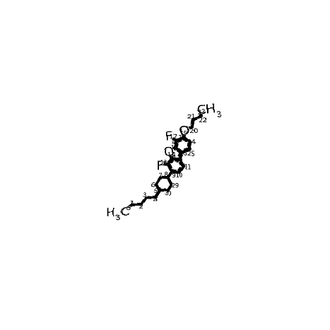 CCCCCC1CCC(c2ccc3c(oc4c(F)c(OCCCC)ccc43)c2F)CC1